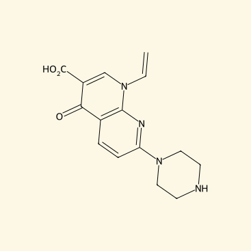 C=Cn1cc(C(=O)O)c(=O)c2ccc(N3CCNCC3)nc21